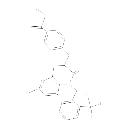 COC(=O)c1ccc(CC2Sc3nc(Br)ccc3N(Cc3ccccc3C(F)(F)F)C2=O)cc1